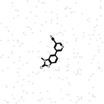 Cn1c(=O)oc2ccc(-c3cncc(C#N)c3)cc21